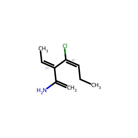 C=C(N)C(=C/C)/C(Cl)=C\CC